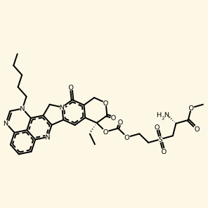 CCCCCN1C=Nc2cccc3nc4c(c1c23)Cn1c-4cc2c(c1=O)COC(=O)[C@@]2(CC)OC(=O)OCCS(=O)(=O)C[C@H](N)C(=O)OC